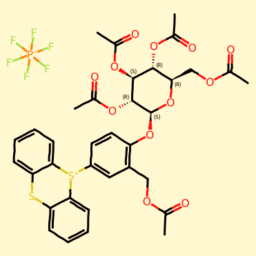 CC(=O)OCc1cc([S+]2c3ccccc3Sc3ccccc32)ccc1O[C@@H]1O[C@H](COC(C)=O)[C@@H](OC(C)=O)[C@H](OC(C)=O)[C@H]1OC(C)=O.F[P-](F)(F)(F)(F)F